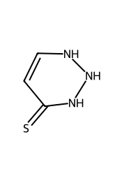 S=C1C=CNNN1